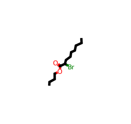 CCCCCCCC(Br)C(=O)OCCCC